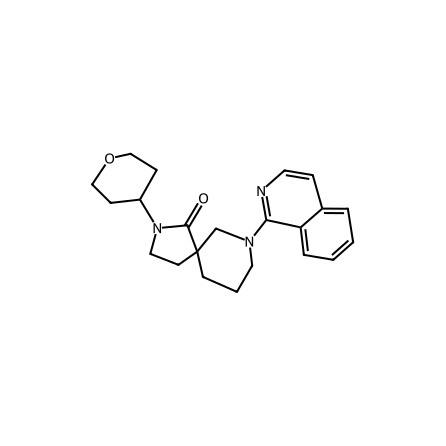 O=C1N(C2CCOCC2)CCC12CCCN(c1nccc3ccccc13)C2